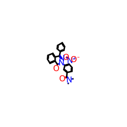 CN(C)C(=O)c1ccc([N+](=O)[O-])c(-n2nc(-c3ccccc3)c3ccccc3c2=O)c1